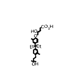 CCC(CC)(c1ccc(CCC(C)(C)O)c(C)c1)c1ccc(OC[C@H](O)CCC(=O)O)c(C)c1